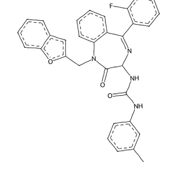 Cc1cccc(NC(=O)NC2N=C(c3ccccc3F)c3ccccc3N(Cc3cc4ccccc4o3)C2=O)c1